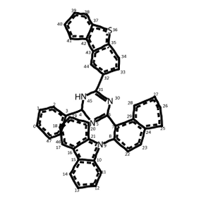 c1ccc(C2N=C(c3c(-n4c5ccccc5c5ccccc54)ccc4ccccc34)N=C(c3ccc4sc5ccccc5c4c3)N2)cc1